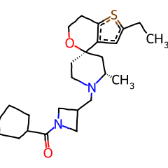 CCc1cc2c(s1)CCO[C@@]21CCN(CC2CN(C(=O)C3CCCCC3)C2)[C@@H](C)C1